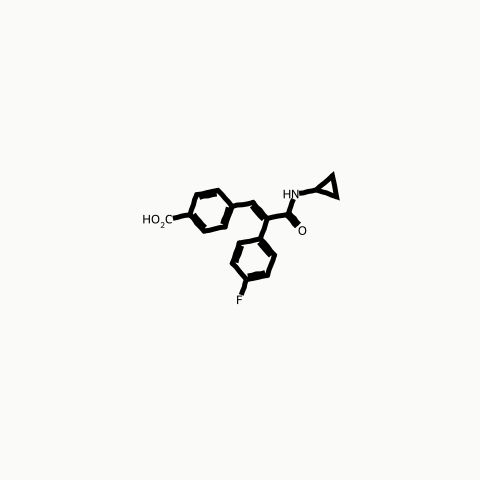 O=C(NC1CC1)/C(=C/c1ccc(C(=O)O)cc1)c1ccc(F)cc1